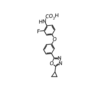 O=C(O)Nc1ccc(Oc2cccc(-c3nnc(C4CC4)o3)c2)cc1F